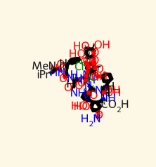 CN[C@H](CC(C)C)C(=O)NC1C(=O)N[C@@H](CC(N)=O)C(=O)N[C@H]2C(=O)N[C@H]3C(=O)N[C@@H]([C@H](O)c4ccc(c(Cl)c4)Oc4cc2cc(c4OC2O[C@H](CO)[C@@H](O)[C@H](O)[C@H]2O[C@H]2C[C@](C)(N)[C@H](O)[C@H](C)O2)Oc2ccc(cc2Cl)[C@H]1O)[C@@H](O)N[C@H](C(=O)O)c1cc(ON)cc(O)c1-c1cc3ccc1O